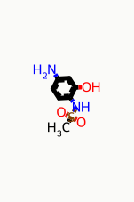 CS(=O)(=O)Nc1ccc(N)cc1O